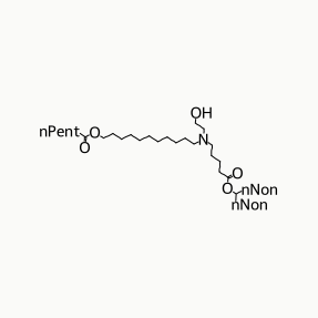 CCCCCCCCCC(CCCCCCCCC)OC(=O)CCCCN(CCO)CCCCCCCCCCCOC(=O)CCCCC